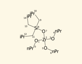 CCC[O][Zr]([O]CCC)([O]CCC)[O][Si](CC(C)C)(CC(C)C)CC(C)C